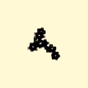 O=C(NC(=O)c1ccccn1)Oc1ccn2c1Cc1c([nH]c3ccccc13)C2c1ccc2c(c1)OCO2